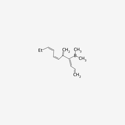 C=C/C=C(\B(C)C)C(=C)/C=C\C=C/CC